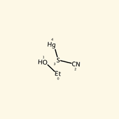 CCO.N#C[S][Hg]